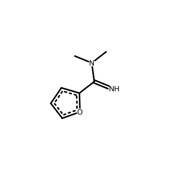 CN(C)C(=N)c1ccco1